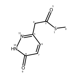 CSC(=O)Cc1ccc(=O)[nH]n1